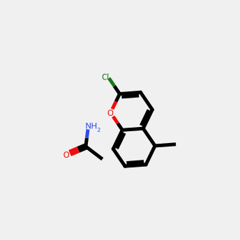 CC(N)=O.CC1C=CC=C2OC(Cl)=CC=C21